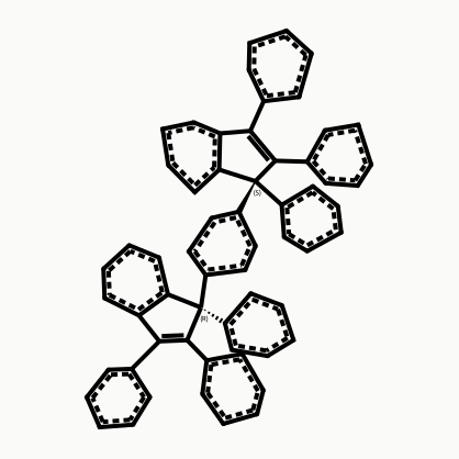 c1ccc(C2=C(c3ccccc3)[C@](c3ccccc3)(c3ccc([C@]4(c5ccccc5)C(c5ccccc5)=C(c5ccccc5)c5ccccc54)cc3)c3ccccc32)cc1